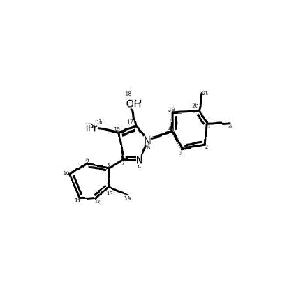 Cc1ccc(-n2nc(-c3ccccc3C)c(C(C)C)c2O)cc1C